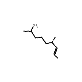 C/C=C/C(C)CCCC(C)N